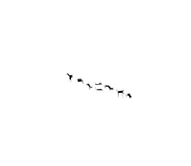 CCNCCOCCN1CCN(CCOCCNC(C)C)CC1